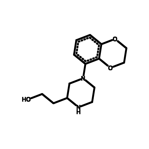 OCCC1CN(c2cccc3c2OCCO3)CCN1